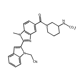 Cn1c(-c2cc3ccccc3n2CC#N)nc2cc(C(=O)N3CCCC(NC(=O)O)C3)ccc21